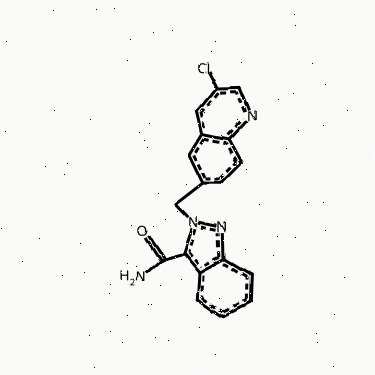 NC(=O)c1c2ccccc2nn1Cc1ccc2ncc(Cl)cc2c1